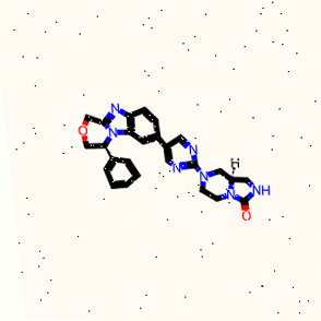 O=C1NC[C@@H]2CN(c3ncc(-c4ccc5nc6n(c5c4)[C@@H](c4ccccc4)COC6)cn3)CCN12